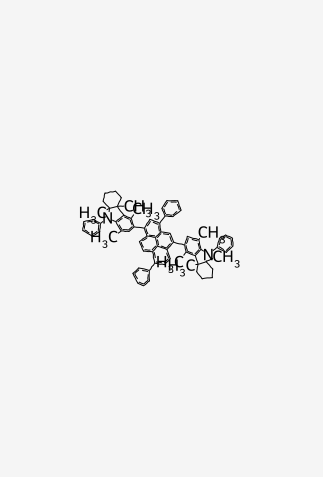 Cc1cc(-c2cc3c(-c4ccccc4)cc(-c4cc(C)c5c(c4C)C4(C)CCCCC4(C)N5c4ccccc4)c4ccc5c(-c6ccccc6)ccc2c5c34)c(C)c2c1N(c1ccccc1)C1(C)CCCCC21C